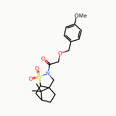 COc1ccc(COCC(=O)N2CC34CCC(CC3S2(=O)=O)C4(C)C)cc1